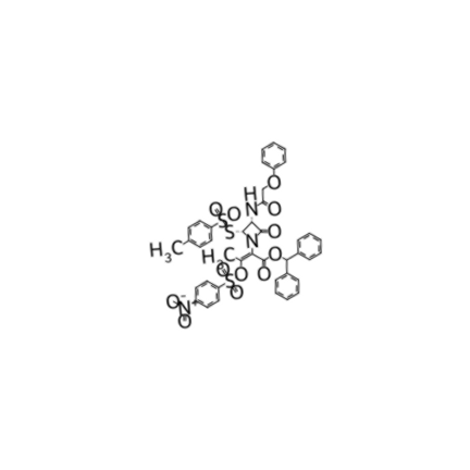 CC(OS(=O)(=O)c1ccc([N+](=O)[O-])cc1)=C(C(=O)OC(c1ccccc1)c1ccccc1)N1C(=O)[C@@H](NC(=O)COc2ccccc2)[C@H]1SS(=O)(=O)c1ccc(C)cc1